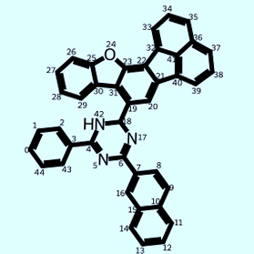 c1ccc(C2=NC(c3ccc4ccccc4c3)=NC(c3cc4c(c5oc6ccccc6c35)-c3cccc5cccc-4c35)N2)cc1